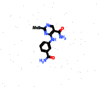 CSc1ncc(C(N)=O)c(Nc2cccc(C(N)=O)c2)n1